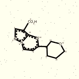 O=C(O)c1cnn2ccc(C3CCCOC3)nc12